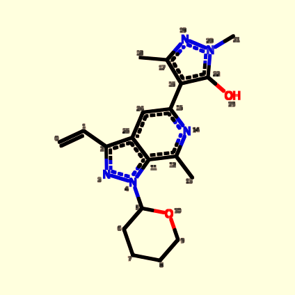 C=Cc1nn(C2CCCCO2)c2c(C)nc(-c3c(C)nn(C)c3O)cc12